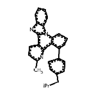 Cc1ccc2c(n1)c1c(-c3ccc(CC(C)C)cc3)cccc1n1c3ccccc3nc21